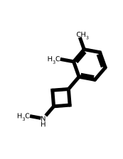 CNC1CC(c2cccc(C)c2C)C1